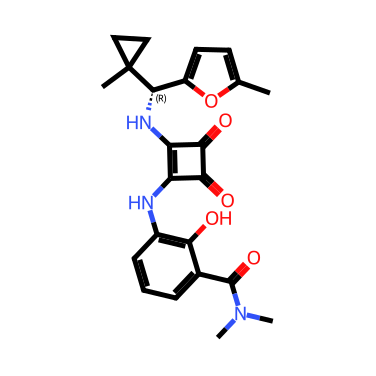 Cc1ccc([C@H](Nc2c(Nc3cccc(C(=O)N(C)C)c3O)c(=O)c2=O)C2(C)CC2)o1